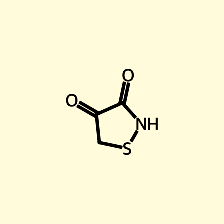 O=C1CSNC1=O